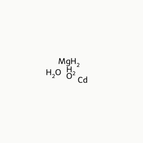 O.O.[Cd].[MgH2]